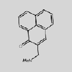 CNCC1=Cc2cccc3cccc(c23)C1=O